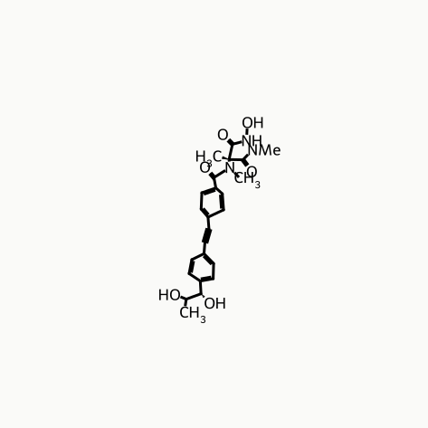 CNC(=O)[C@@](C)(C(=O)NO)N(C)C(=O)c1ccc(C#Cc2ccc([C@H](O)C(C)O)cc2)cc1